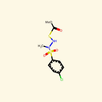 COC(=O)SNN(C)S(=O)(=O)c1ccc(Cl)cc1